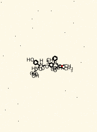 CCCCC1(CCCC)CN(c2ccccc2)c2cc(SC)c(OCC(=O)NC(C(=O)NCCS(=O)(=O)O)c3ccc(O)cc3)cc2S(=O)(=O)N1